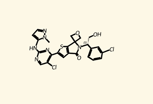 Cn1nccc1Nc1ncc(Cl)c(-c2cc3c(s2)C2(COC2)N([C@H](CO)c2cccc(Cl)c2)C3=O)n1